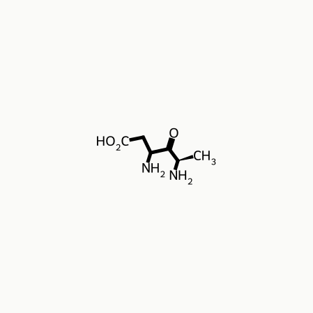 C[C@@H](N)C(=O)C(N)CC(=O)O